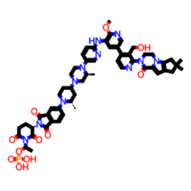 COc1ncc(-c2ccnc(N3CCn4c(cc5c4CC(C)(C)C5)C3=O)c2CO)cc1Nc1ccc(N2CCN(C3CCN(c4ccc5c(c4)C(=O)N([C@H]4CCC(=O)N(C(C)OP(=O)(O)O)C4=O)C5=O)[C@@H](C)C3)C[C@@H]2C)cn1